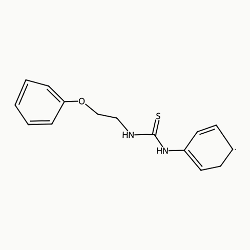 S=C(NCCOc1ccccc1)NC1=CC[CH]C=C1